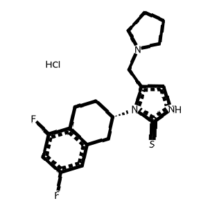 Cl.Fc1cc(F)c2c(c1)C[C@@H](n1c(CN3CCCC3)c[nH]c1=S)CC2